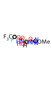 COc1ncc(C(=O)NC23CCC(NC(=O)COc4ccc(C(F)(F)F)c(F)c4)(CC2)[C@@H](O)C3)cn1